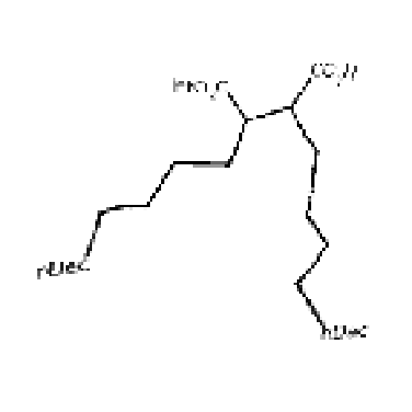 CCCCCCCCCCCCCCC(C(=O)O)C(CCCCCCCCCCCCCC)C(=O)OCC